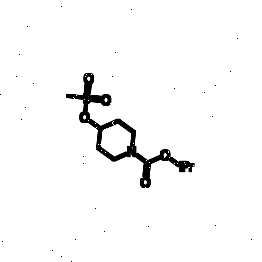 CC(C)OC(=O)N1CCC(OS(C)(=O)=O)CC1